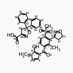 Cc1c(C(=O)c2cnn(C)c2O)ccc(S(C)(=O)=O)c1C1=NOCC1.O=C(O)C1=NOC(c2ccccc2)(c2ccccc2)C1